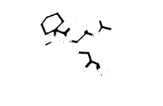 COC1(C(=O)N[C@@H](CCC(=O)C=N)C(=O)OC(C)C)CCCCC1